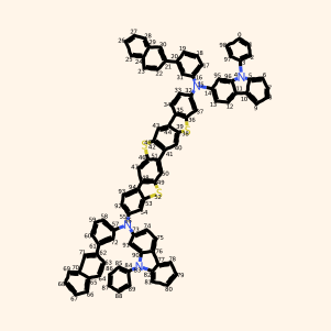 c1ccc(-n2c3ccccc3c3ccc(N(c4cccc(-c5ccc6ccccc6c5)c4)c4ccc5c(c4)sc4cc6c(cc45)sc4cc5c(cc46)sc4cc(N(c6cccc(-c7ccc8ccccc8c7)c6)c6ccc7c8ccccc8n(-c8ccccc8)c7c6)ccc45)cc32)cc1